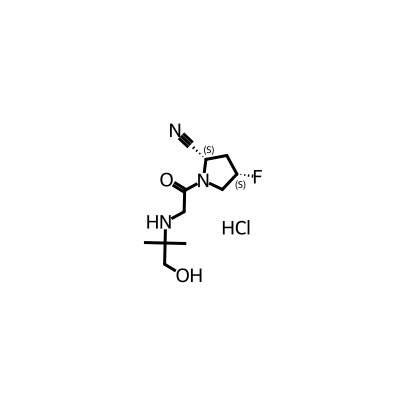 CC(C)(CO)NCC(=O)N1C[C@@H](F)C[C@H]1C#N.Cl